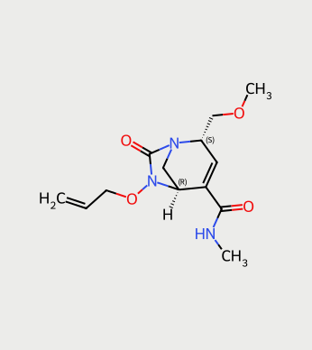 C=CCON1C(=O)N2C[C@H]1C(C(=O)NC)=C[C@H]2COC